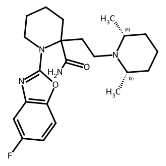 C[C@@H]1CCC[C@H](C)N1CCC1(C(N)=O)CCCCN1c1nc2cc(F)ccc2o1